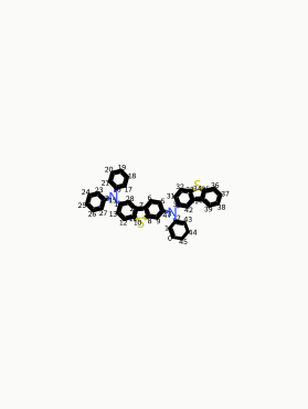 C1=CC(N(c2ccc3c(c2)sc2ccc(N(c4ccccc4)c4ccccc4)cc23)c2ccc3sc4ccccc4c3c2)=CCC1